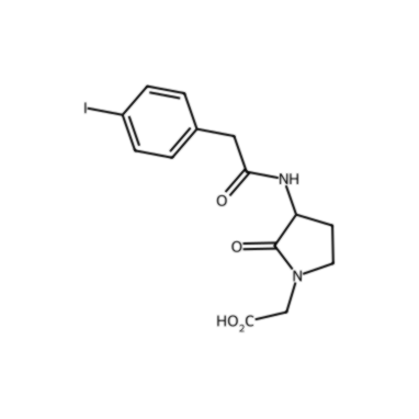 O=C(O)CN1CCC(NC(=O)Cc2ccc(I)cc2)C1=O